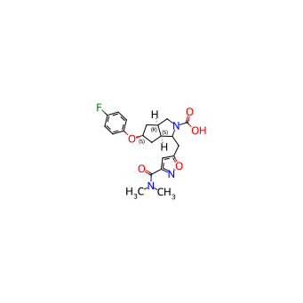 CN(C)C(=O)c1cc(CC2[C@H]3C[C@@H](Oc4ccc(F)cc4)C[C@H]3CN2C(=O)O)on1